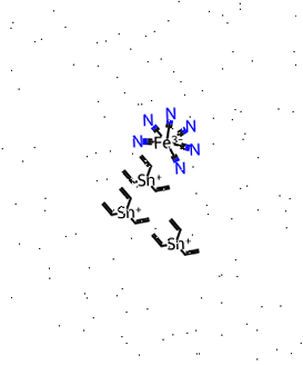 C=[CH][Sn+]([CH]=C)[CH]=C.C=[CH][Sn+]([CH]=C)[CH]=C.C=[CH][Sn+]([CH]=C)[CH]=C.N#[C][Fe-3]([C]#N)([C]#N)([C]#N)([C]#N)[C]#N